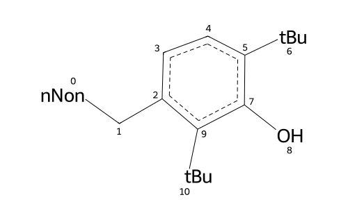 CCCCCCCCCCc1ccc(C(C)(C)C)c(O)c1C(C)(C)C